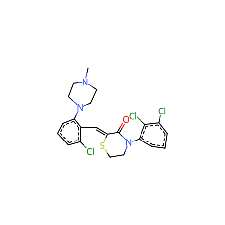 CN1CCN(c2cccc(Cl)c2C=C2SCCN(c3cccc(Cl)c3Cl)C2=O)CC1